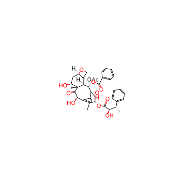 CC(=O)O[C@@]12CO[C@@H]1C[C@H](O)[C@@]1(C)C(=O)[C@H](O)C3=C(C)[C@@H](OC(=O)[C@H](O)[C@@H](C)c4ccccc4)C[C@](O)([C@@H](OC(=O)c4ccccc4)[C@H]21)C3(C)C